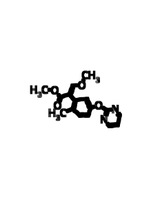 CO/C=C(/C(=O)OC)c1cc(Oc2ncccn2)ccc1C